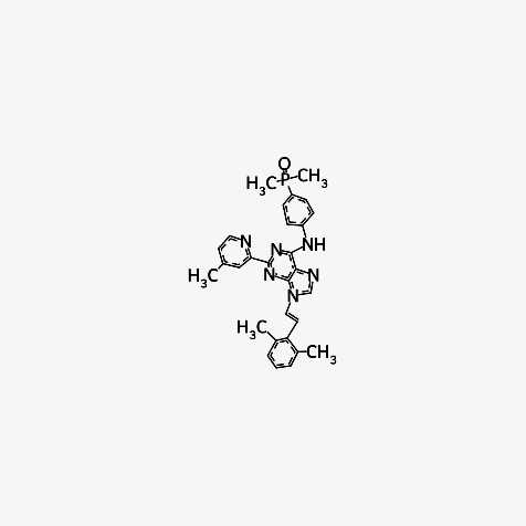 Cc1ccnc(-c2nc(Nc3ccc(P(C)(C)=O)cc3)c3ncn(/C=C/c4c(C)cccc4C)c3n2)c1